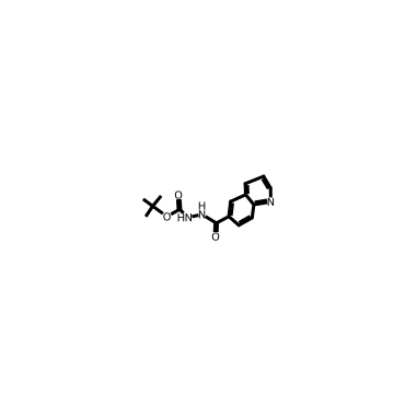 CC(C)(C)OC(=O)NNC(=O)c1ccc2ncccc2c1